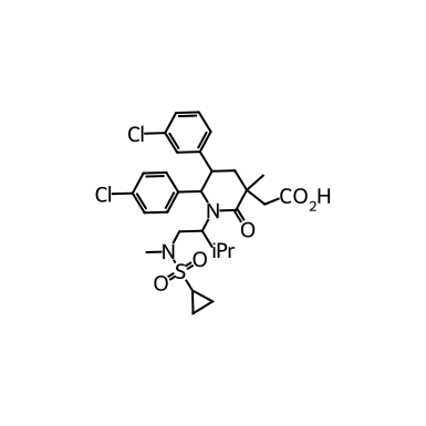 CC(C)C(CN(C)S(=O)(=O)C1CC1)N1C(=O)C(C)(CC(=O)O)CC(c2cccc(Cl)c2)C1c1ccc(Cl)cc1